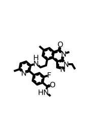 CCn1ncc2c3c(CCNc4ccc(C)nc4-c4ccc(C(=O)NC)c(F)c4)cc(C)cc3c(=O)n(C)c21